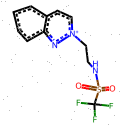 O=S(=O)(NCC[n+]1ccc2ccccc2n1)C(F)(F)F